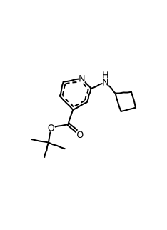 CC(C)(C)OC(=O)c1ccnc(NC2CCC2)c1